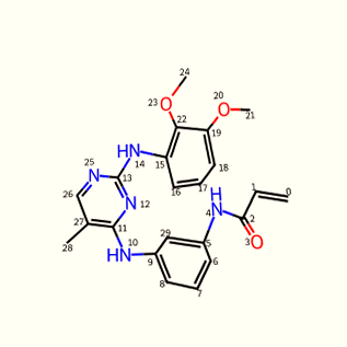 C=CC(=O)Nc1cccc(Nc2nc(Nc3cccc(OC)c3OC)ncc2C)c1